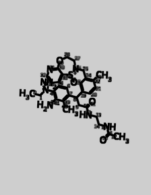 CCN(N)c1ccc(C(CC(=O)NCCNC(C)=O)c2ccc(C)c(CN3CCOc4ncccc4[S+]3[O-])c2)c(C)c1N